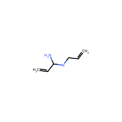 C=CC[N]C(N)C=C